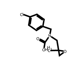 CC1(CN(Cc2ccc(Cl)cc2)C(=O)O)CO1